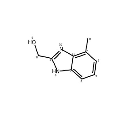 Cc1cccc2[nH]c(CO)nc12